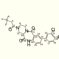 CC(C)(C)CC(=O)N1CCN2C(=O)c3cc(-c4ccc(Cl)c(Cl)c4)ccc3NC(=O)C2C1